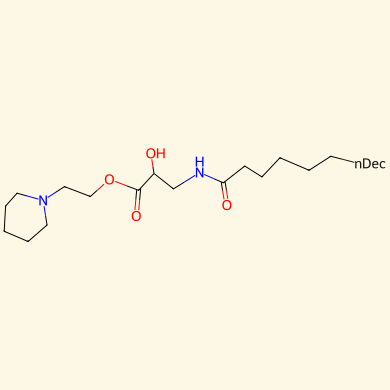 CCCCCCCCCCCCCCCC(=O)NCC(O)C(=O)OCCN1CCCCC1